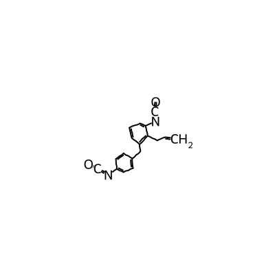 C=CCc1c(Cc2ccc(N=C=O)cc2)cccc1N=C=O